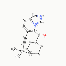 C[Si](C)(C)C#Cc1ccc2cncn2c1C(O)C1CCCCC1